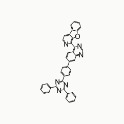 c1ccc(-c2nc(-c3ccccc3)nc(-c3ccc(-c4ccc5c(-c6nccc7c6oc6ccccc67)ncnc5c4)cc3)n2)cc1